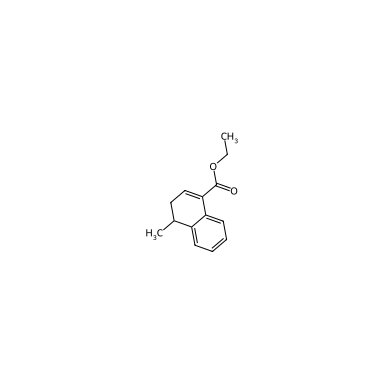 CCOC(=O)C1=CCC(C)c2ccccc21